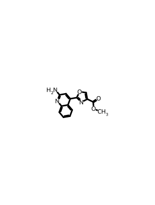 COC(=O)c1coc(-c2cc(N)nc3ccccc23)n1